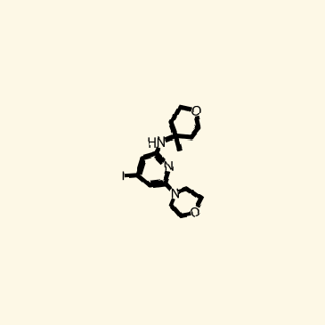 CC1(Nc2cc(I)cc(N3CCOCC3)n2)CCOCC1